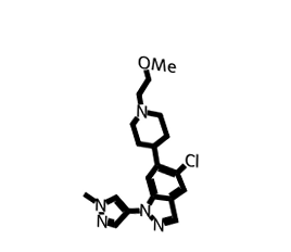 COCCN1CCC(c2cc3c(cnn3-c3cnn(C)c3)cc2Cl)CC1